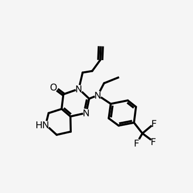 C#CCCn1c(N(CC)c2ccc(C(F)(F)F)cc2)nc2c(c1=O)CNCC2